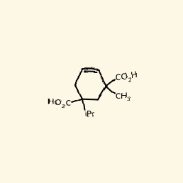 CC(C)C1(C(=O)O)CC=CC(C)(C(=O)O)C1